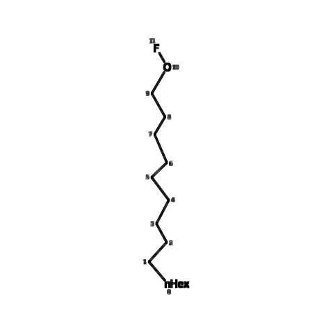 CCCCCCCCCCCCCCCOF